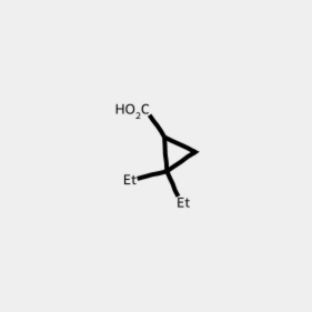 CCC1(CC)CC1C(=O)O